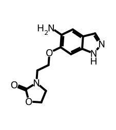 Nc1cc2cn[nH]c2cc1OCCN1CCOC1=O